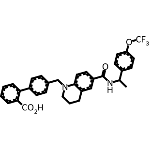 CC(NC(=O)c1ccc2c(c1)CCCN2Cc1ccc(-c2ccccc2C(=O)O)cc1)c1ccc(OC(F)(F)F)cc1